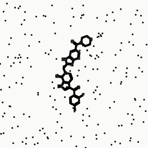 O=C(c1ccc(F)cc1F)c1c[nH]c2c(=O)n(Cc3nc4ncc(C(=O)N5CCOCC5)cc4[nH]3)ccc12